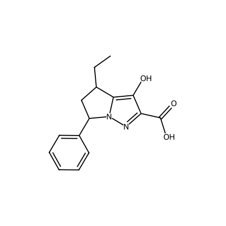 CCC1CC(c2ccccc2)n2nc(C(=O)O)c(O)c21